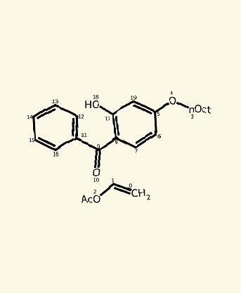 C=COC(C)=O.CCCCCCCCOc1ccc(C(=O)c2ccccc2)c(O)c1